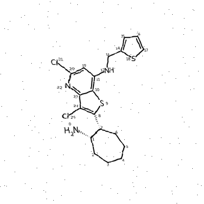 N[C@H]1CCCCC[C@H]1c1sc2c(NCc3cccs3)cc(Cl)nc2c1Cl